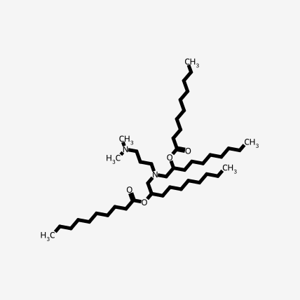 CCCCCCCCCC(=O)OC(CCCCCCCC)CN(CCCN(C)C)CC(CCCCCCCC)OC(=O)CCCCCCCCC